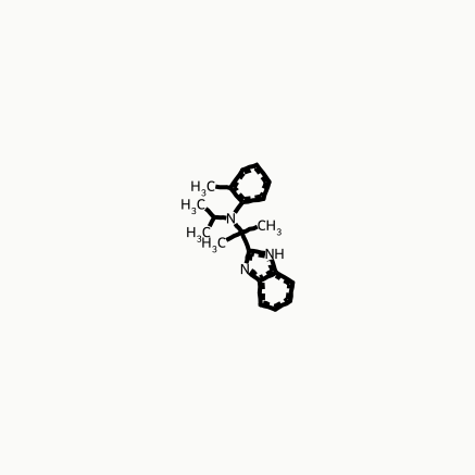 Cc1ccccc1N(C(C)C)C(C)(C)c1nc2ccccc2[nH]1